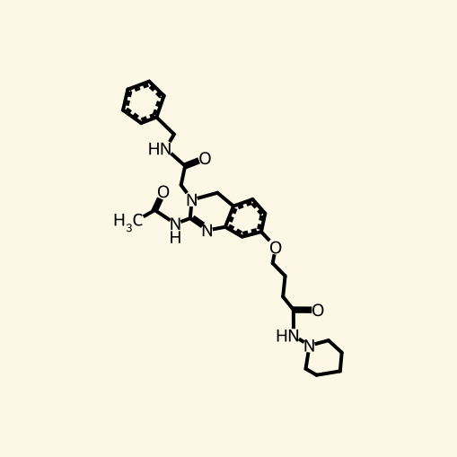 CC(=O)NC1=Nc2cc(OCCCC(=O)NN3CCCCC3)ccc2CN1CC(=O)NCc1ccccc1